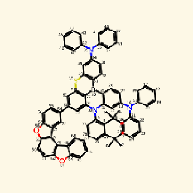 CC1(C)CCC(C)(C)c2c(N3c4cc(N(c5ccccc5)c5ccccc5)ccc4B4c5ccc(N(c6ccccc6)c6ccccc6)cc5Sc5cc(-c6ccc7oc8ccc9oc%10ccccc%10c9c8c7c6)cc3c54)cccc21